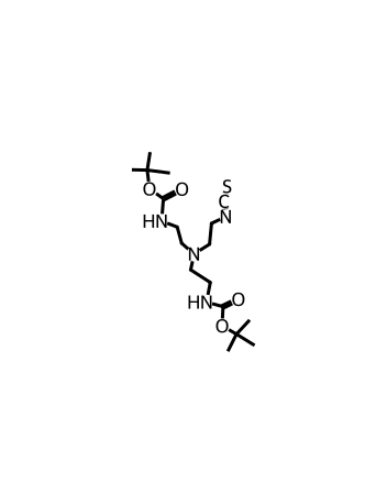 CC(C)(C)OC(=O)NCCN(CCN=C=S)CCNC(=O)OC(C)(C)C